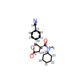 CN(C(=O)[C@H]1CC(=O)O[C@@H]1c1ccc(C#N)cc1)C1CCCCC1